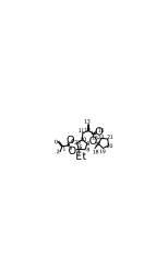 C=C(C)C(=O)OC1(CC)CCC(CC(=C)C(=O)OC2(C)CCCC2)C1